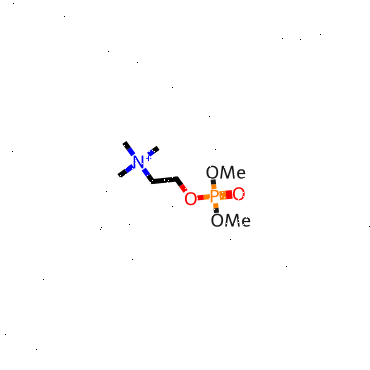 COP(=O)(OC)OCC[N+](C)(C)C